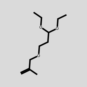 C=C(C)COCCC(OCC)OCC